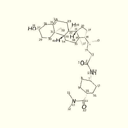 C[C@H](CCC(=O)N[C@H]1CC[C@@H](C(=O)N(C)C)CC1)[C@H]1CC[C@H]2[C@@H]3CC=C4C[C@@H](O)CC[C@]4(C)[C@H]3CC[C@]12C